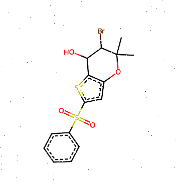 CC1(C)Oc2cc(S(=O)(=O)c3ccccc3)sc2C(O)C1Br